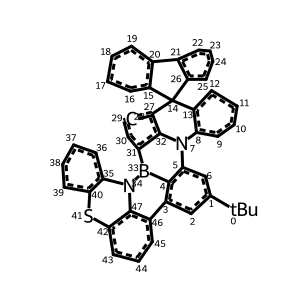 CC(C)(C)c1cc2c3c(c1)N1c4ccccc4C4(c5ccccc5-c5ccccc54)c4cccc(c41)B3N1c3ccccc3Sc3cccc-2c31